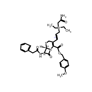 CC[N+](CC)(C/C=C/C1=C(C(=O)OCc2ccc(OC)cc2)N2C(=O)[C@@H](NC(=O)Cc3ccccc3)[C@@H]2SC1)CC(N)=O